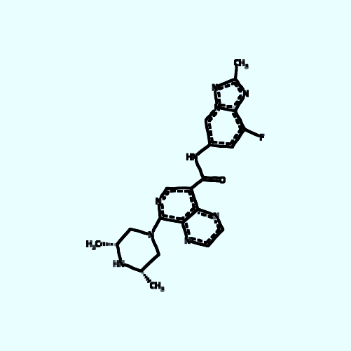 Cc1nc2c(F)cc(NC(=O)c3cnc(N4C[C@@H](C)N[C@@H](C)C4)c4nccnc34)cn2n1